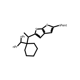 CCCCCc1cc2cc(C(C)C3(C(CCC)CCC)CCCCC3)sc2s1